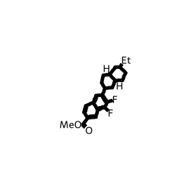 CCC1CC[C@@H]2CC(c3cc4ccc(C(=O)OC)cc4c(F)c3F)CC[C@H]2C1